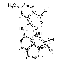 Cc1ccc([N+](=O)[O-])c(C(=O)Nc2ccc3cccc(S(=O)(=O)O)c3c2O)c1